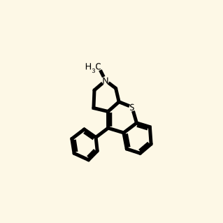 CN1CCC2=C(c3ccccc3)c3ccccc3SC2C1